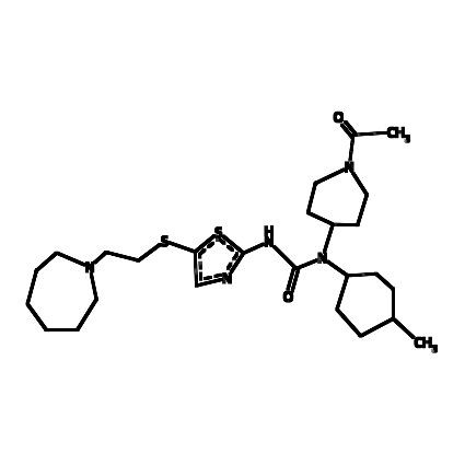 CC(=O)N1CCC(N(C(=O)Nc2ncc(SCCN3CCCCCC3)s2)C2CCC(C)CC2)CC1